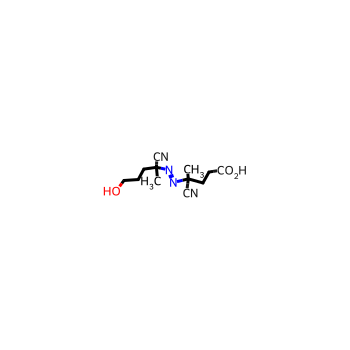 CC(C#N)(CCCO)/N=N/C(C)(C#N)CCC(=O)O